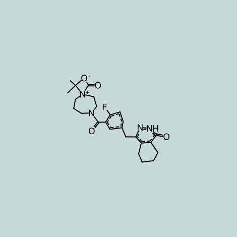 CC(C)(C)[N+]1(C(=O)[O-])CCCN(C(=O)c2cc(Cc3n[nH]c(=O)c4c3CCCC4)ccc2F)CC1